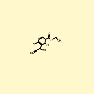 C#CC(O)C1=C(Cl)N=CC(C(=O)OCC)C1Cl